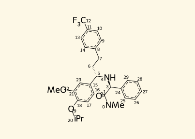 CNC(=O)[C@@H](N[C@@H](CCc1ccc(C(F)(F)F)cc1)c1ccc(OC(C)C)c(OC)c1)c1ccccc1